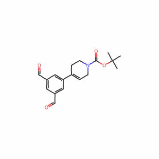 CC(C)(C)OC(=O)N1CC=C(c2cc(C=O)cc(C=O)c2)CC1